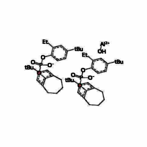 CCc1cc(C(C)(C)C)ccc1OP(=O)([O-])Oc1c2cc(C(C)(C)C)cc1CCCC2.CCc1cc(C(C)(C)C)ccc1OP(=O)([O-])Oc1c2cc(C(C)(C)C)cc1CCCC2.[OH][Al+2]